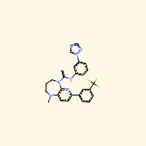 C=C(Nc1cccc(-n2cncn2)c1)N1CCCN(C)c2ccc(-c3cccc(C(F)(F)S)c3)nc21